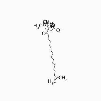 CC(C)CCCCCCCCCCCCCCC(=O)C(O)(CC(=O)[O-])C[N+](C)(C)C